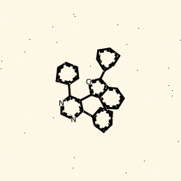 c1ccc(-c2ncnc(-c3ccccc3)c2-c2oc(-c3ccccc3)c3ccccc23)cc1